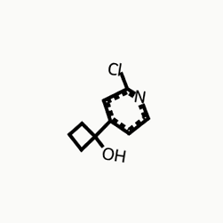 OC1(c2ccnc(Cl)c2)CCC1